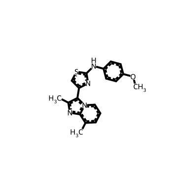 COc1ccc(Nc2nc(-c3c(C)nc4c(C)cccn34)cs2)cc1